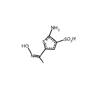 C/C(=N/O)c1cc(S(=O)(=O)O)c(N)s1